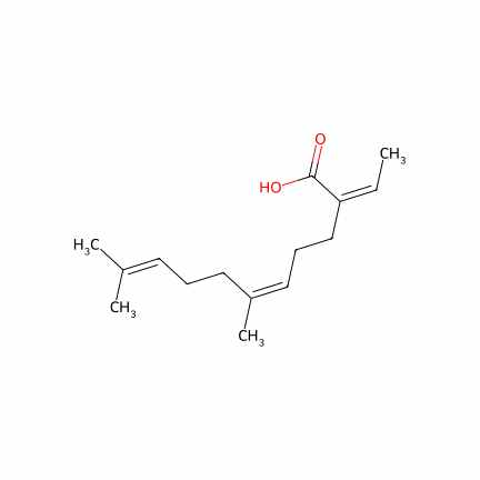 CC=C(CCC=C(C)CCC=C(C)C)C(=O)O